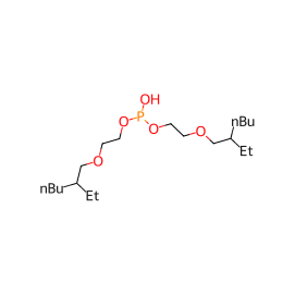 CCCCC(CC)COCCOP(O)OCCOCC(CC)CCCC